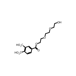 O=C(OCCOCCOCCO)c1ccc(C(=O)O)c(C(=O)O)c1